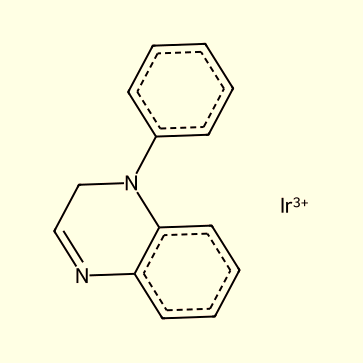 C1=Nc2ccccc2N(c2ccccc2)C1.[Ir+3]